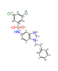 O=S(=O)(Nc1ccc2c(c1)ncn2CCc1ccccc1)c1cc(Cl)cc(Cl)c1